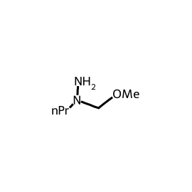 CCCN(N)COC